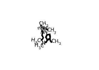 C=CNCCCCC(C)N(C)Cc1cc(NC(C)CCCC)ccc1C=C